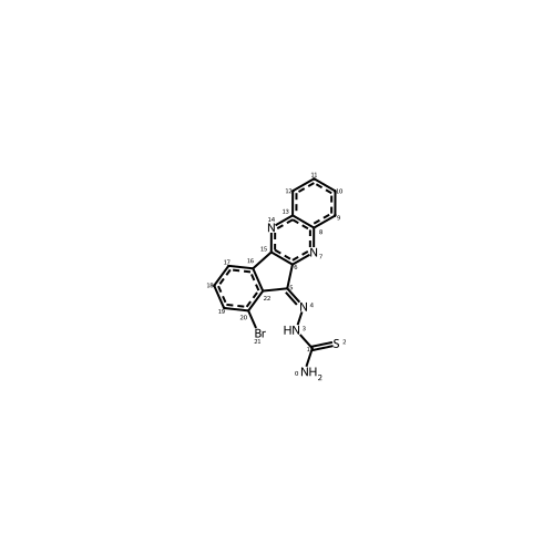 NC(=S)NN=C1c2nc3ccccc3nc2-c2cccc(Br)c21